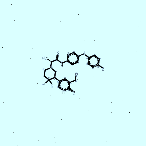 C[C@@H](C(=O)Nc1ccc(Oc2ccc(F)cc2)cn1)N1CCC(F)(F)C(c2c[nH]c(=O)c(CO)c2)C1